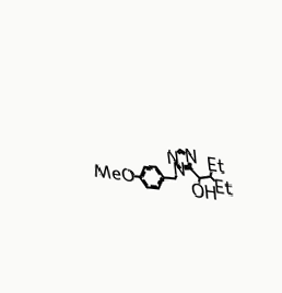 CCC(CC)C(O)c1ncnn1Cc1ccc(OC)cc1